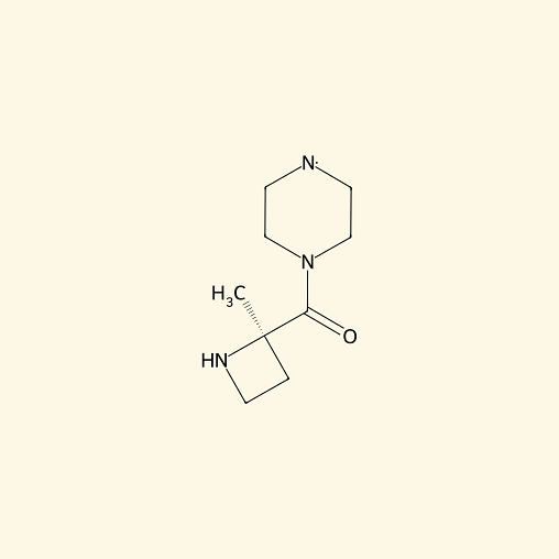 C[C@]1(C(=O)N2CC[N]CC2)CCN1